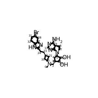 CN(C[C@H]1C[C@@H](n2ccc3c(N)ncnc32)[C@H](O)[C@@H]1O)[C@H]1C[C@H](CCc2nc3cc(Br)ccc3[nH]2)C1